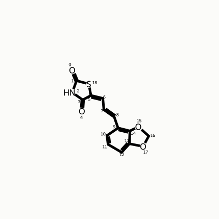 O=C1NC(=O)C(=CC=Cc2cccc3c2OCO3)S1